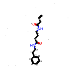 C=CCC(=O)NCCCC(=O)NCCc1ccccc1